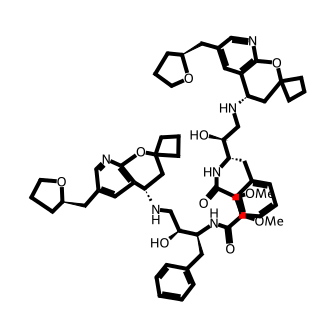 COC(C(=O)N[C@@H](Cc1ccccc1)[C@@H](O)CN[C@H]1CC2(CCC2)Oc2ncc(C[C@H]3CCCO3)cc21)C(OC)C(=O)N[C@@H](Cc1ccccc1)[C@@H](O)CN[C@H]1CC2(CCC2)Oc2ncc(C[C@@H]3CCCO3)cc21